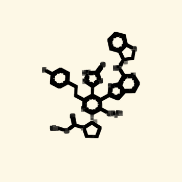 CCOC(=O)c1c([C@@H]2CCCN2C(=O)OC(C)(C)C)nc(CCc2ccc(F)cc2)c(-c2n[nH]c(=O)o2)c1-c1cc2ccnc(N[C@@H]3COc4ccccc43)c2s1